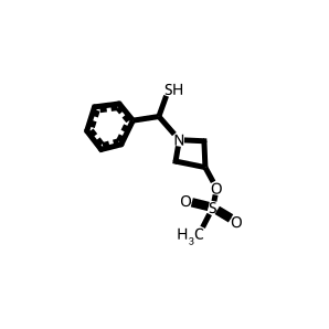 CS(=O)(=O)OC1CN(C(S)c2ccccc2)C1